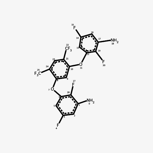 Nc1cc(F)cc(Oc2cc(Oc3cc(F)cc(N)c3F)c(C(F)(F)F)cc2C(F)(F)F)c1F